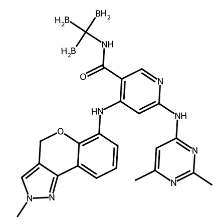 BC(B)(B)NC(=O)c1cnc(Nc2cc(C)nc(C)n2)cc1Nc1cccc2c1OCc1cn(C)nc1-2